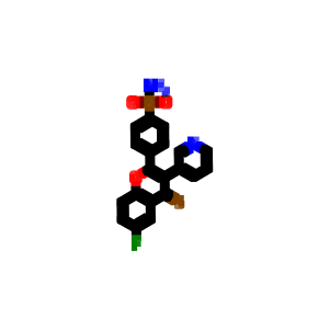 NS(=O)(=O)c1ccc(-c2oc3ccc(F)cc3c(=S)c2-c2cccnc2)cc1